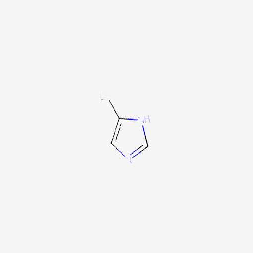 C[CH]c1cnc[nH]1